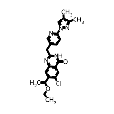 C=C(OCC)c1cc2nc(Cc3ccc(-n4cc(C)c(C)n4)nc3)[nH]c(=O)c2cc1Cl